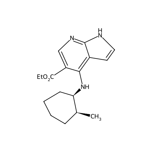 CCOC(=O)c1cnc2[nH]ccc2c1N[C@@H]1CCCC[C@@H]1C